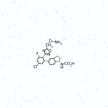 Cc1nc(-c2c(F)cc(Cl)cc2-c2ccc3c(c2)CC[C@@H]3NC(=O)O)no1.NC1CC1